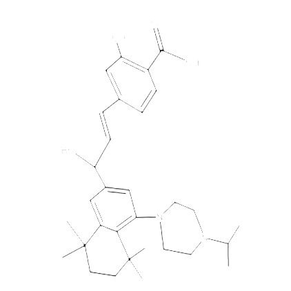 CC(C)N1CCN(c2cc(C(O)/C=C/c3ccc(C(=O)O)c(O)c3)cc3c2C(C)(C)CCC3(C)C)CC1